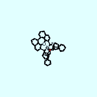 c1ccc(-c2cc(-c3ccccc3)nc(-c3ccc4cccc5c6cccc7ccc(-c8nc(-c9ccccc9)cc(-c9ccccc9)n8)c(oc3c45)c76)n2)cc1